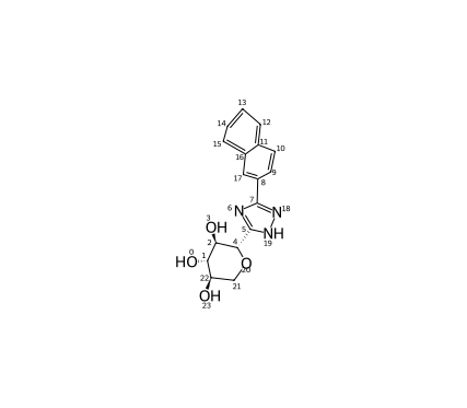 O[C@@H]1[C@@H](O)[C@H](c2nc(-c3ccc4ccccc4c3)n[nH]2)OC[C@H]1O